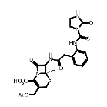 CC(=O)OCC1=C(C(=O)O)N2C(=O)C(NC(=O)Cc3ccccc3NC(=S)N3CCNC3=O)[C@H]2SC1